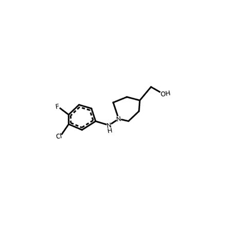 OCC1CCN(Nc2ccc(F)c(Cl)c2)CC1